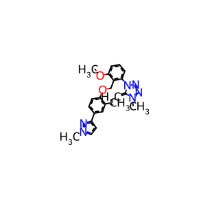 C=C1N(C)N=NN1c1cccc(OC)c1COc1ccc(-c2ccn(C)n2)cc1C